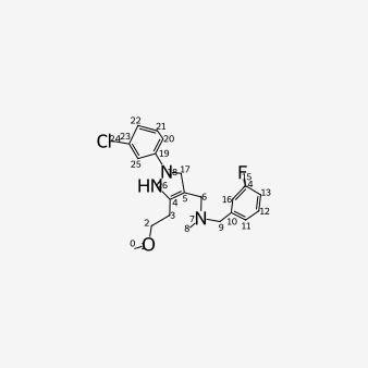 COCCC1=C(CN(C)Cc2cccc(F)c2)CN(c2cccc(Cl)c2)N1